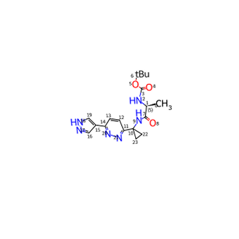 C[C@H](NC(=O)OC(C)(C)C)C(=O)NC1(c2ccc(-c3cn[nH]c3)nn2)CC1